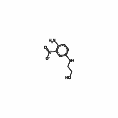 Nc1ccc(NCCO)cc1[N+](=O)[O-]